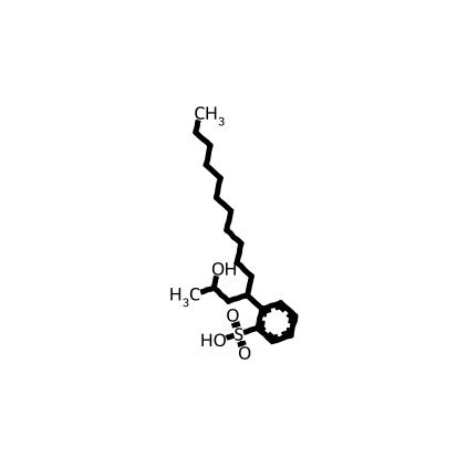 CCCCCCCCCCCC(CC(C)O)c1ccccc1S(=O)(=O)O